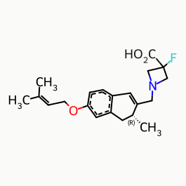 CC(C)=CCOc1ccc2c(c1)C[C@@H](C)C(CN1CC(F)(C(=O)O)C1)=C2